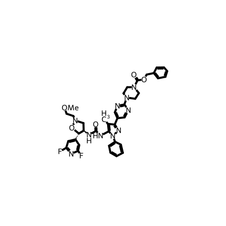 COCCN1C[C@@H](NC(=O)Nc2c(C)c(-c3cnc(N4CCN(C(=O)OCc5ccccc5)CC4)nc3)nn2-c2ccccc2)[C@H](c2cc(F)nc(F)c2)O1